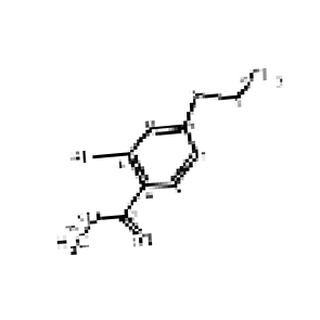 CCCc1ccc(C(=O)OC)c(F)c1